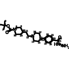 CC(C)(C)OC(=O)N1CCC(CCN2CCN(c3ccc(C(=O)NN)cc3)CC2)CC1